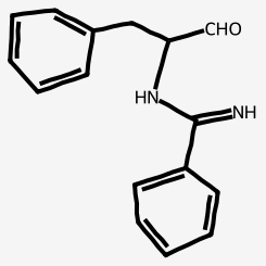 N=C(NC(C=O)Cc1ccccc1)c1ccccc1